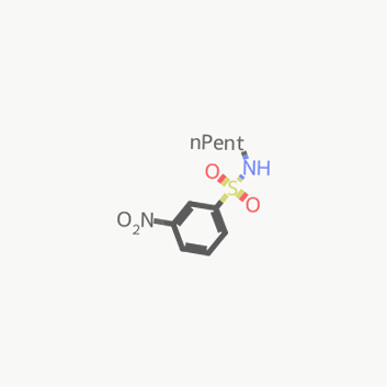 CCCCCNS(=O)(=O)c1cccc([N+](=O)[O-])c1